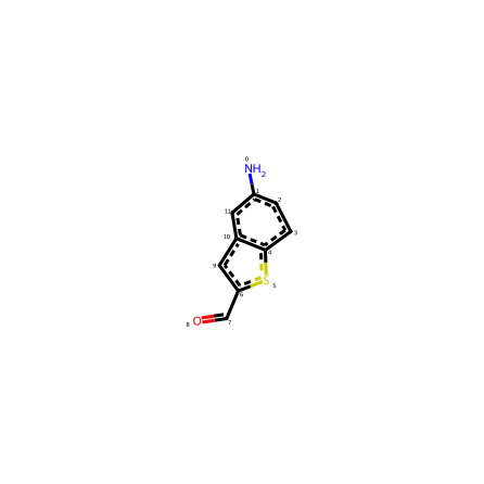 Nc1ccc2sc(C=O)cc2c1